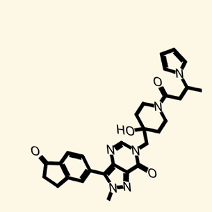 CC(CC(=O)N1CCC(O)(Cn2cnc3c(-c4ccc5c(c4)CCC5=O)n(C)nc3c2=O)CC1)n1cccc1